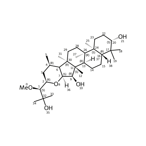 CO[C@@H]([C@H]1C[C@@H](C)C2[C@H](O1)[C@H](O)[C@@]1(C)[C@@H]3CC[C@H]4C(C)(C)[C@@H](O)CC[C@]4(C)[C@]3(C)CC[C@]21C)C(C)(C)O